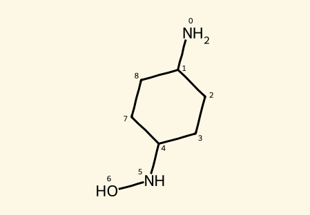 NC1CCC(NO)CC1